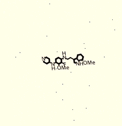 COc1c(Nc2ccncc2)ccc(NCCc2c[nH]c3c(OC)cccc23)c1F